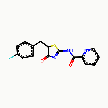 O=C(NC1=NC(=O)C(Cc2ccc(F)cc2)S1)c1ccccn1